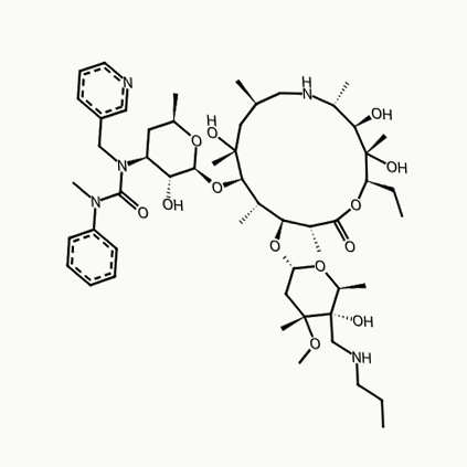 CCCNC[C@]1(O)[C@H](C)O[C@@H](O[C@H]2[C@H](C)[C@@H](O[C@@H]3O[C@H](C)C[C@H](N(Cc4cccnc4)C(=O)N(C)c4ccccc4)[C@H]3O)[C@](C)(O)C[C@@H](C)CN[C@H](C)[C@@H](O)[C@](C)(O)[C@@H](CC)OC(=O)[C@@H]2C)C[C@@]1(C)OC